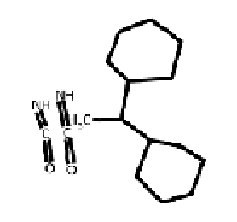 CC(C1CCCCC1)C1CCCCC1.N=C=O.N=C=O